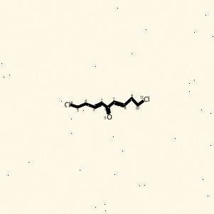 O=C(C=CCCCl)C=CCCCl